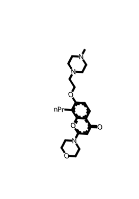 CCCc1c(OCCN2CCN(C)CC2)ccc2c(=O)cc(N3CCOCC3)oc12